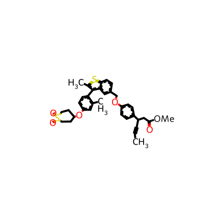 CC#CC(CC(=O)OC)c1ccc(OCc2ccc3sc(C)c(-c4ccc(OC5CCS(=O)(=O)CC5)cc4C)c3c2)cc1